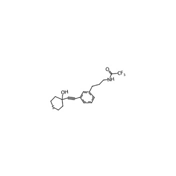 O=C(NCCCc1cccc(C#CC2(O)CCSCC2)c1)C(F)(F)F